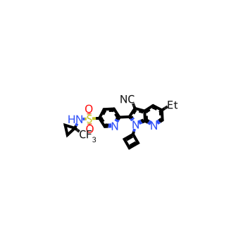 CCc1cnc2c(c1)c(C#N)c(-c1ccc(S(=O)(=O)NC3(C(F)(F)F)CC3)cn1)n2C1=CC=C1